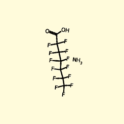 N.O=C(O)C(F)(F)C(F)(F)C(F)(F)C(F)(F)C(F)(F)C(F)(F)F